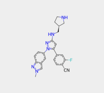 Cn1cc2cc(-n3nc(NC[C@H]4CCNC4)cc3-c3ccc(C#N)c(F)c3)ccc2n1